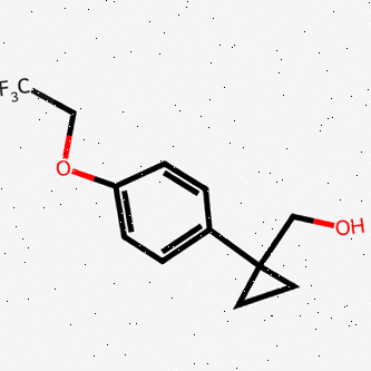 OCC1(c2ccc(OCC(F)(F)F)cc2)CC1